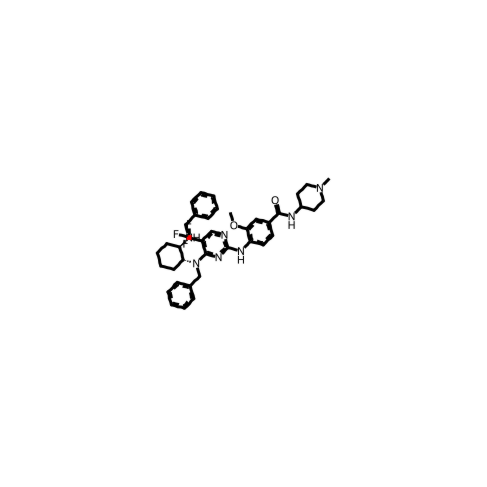 COc1cc(C(=O)NC2CCN(C)CC2)ccc1Nc1ncc(C(F)(F)F)c(N(Cc2ccccc2)[C@@H]2CCCC[C@H]2NCc2ccccc2)n1